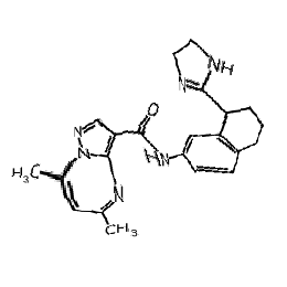 Cc1cc(C)n2ncc(C(=O)Nc3ccc4c(c3)C(C3=NCCN3)CCC4)c2n1